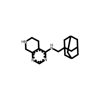 c1nc2c(c(NCC34CC5CC(CC(C5)C3)C4)n1)CCNC2